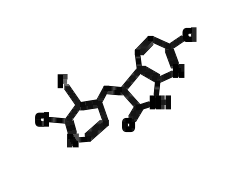 O=C1Nc2nc(Cl)ccc2C1=Cc1ccnc(Cl)c1F